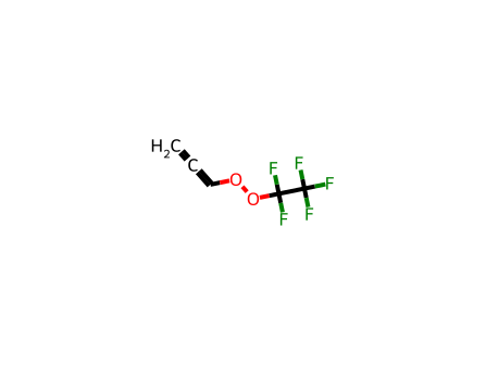 C=C=COOC(F)(F)C(F)(F)F